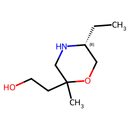 CC[C@@H]1COC(C)(CCO)CN1